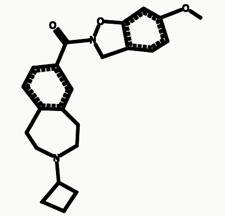 COc1ccc2c(c1)ON(C(=O)c1ccc3c(c1)CCN(C1CCC1)CC3)C2